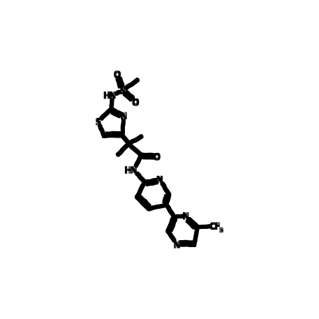 CC(C)(C(=O)Nc1ccc(-c2cncc(C(F)(F)F)n2)cn1)c1csc(NS(C)(=O)=O)n1